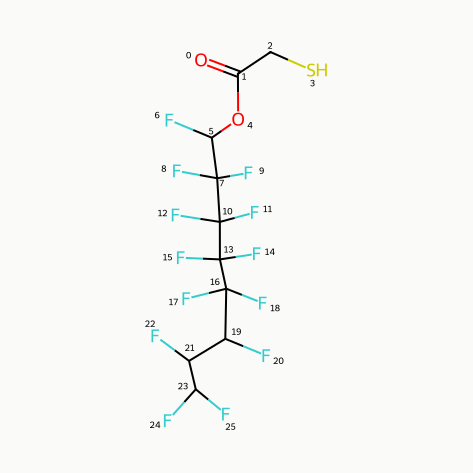 O=C(CS)OC(F)C(F)(F)C(F)(F)C(F)(F)C(F)(F)C(F)C(F)C(F)F